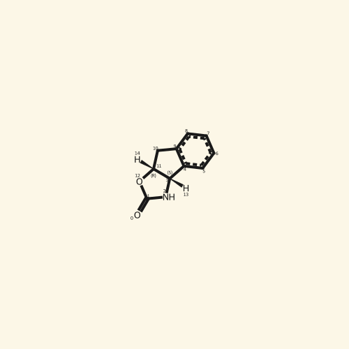 O=C1N[C@H]2c3ccccc3C[C@H]2O1